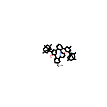 Cc1cc(-c2ccccc2-c2cccc(-c3ccccc3-c3cc(C)cc(C45CC6(C)CC(C)(CC(C)(C6)C4)C5)c3[O-])n2)c([O-])c(C23CC4(C)CC(C)(CC(C)(C4)C2)C3)c1.[CH3][Zr+2][CH3]